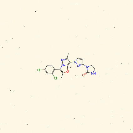 Cc1nn2c(-c3ccc(Cl)cc3Cl)c(C)oc2c1-n1ccc(N2CCNC2=O)n1